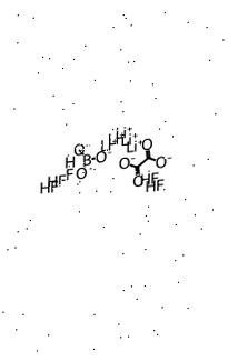 F.F.F.F.F.O=C([O-])C(=O)[O-].[Li+].[Li+].[Li+].[Li+].[Li+].[O-]B([O-])[O-]